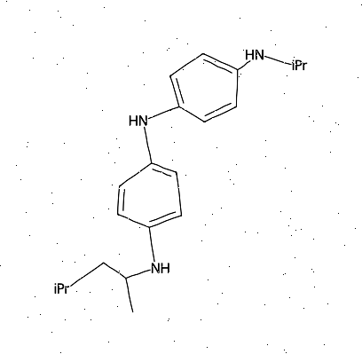 CC(C)CC(C)Nc1ccc(Nc2ccc(NC(C)C)cc2)cc1